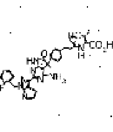 C[C@H](O)[C@H](NC(=O)CCc1ccc(C2(C)C(=O)Nc3nc(-c4nn(Cc5ccccc5F)c5ncccc45)nc(N)c32)cc1)C(=O)O